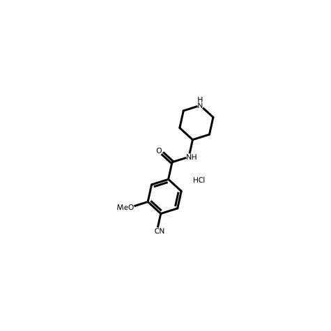 COc1cc(C(=O)NC2CCNCC2)ccc1C#N.Cl